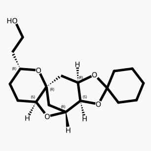 OCC[C@H]1CC[C@@H]2O[C@@H]3C[C@]2(C[C@H]2OC4(CCCCC4)O[C@@H]32)O1